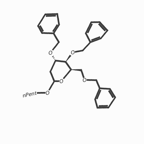 CCCCCOC1C[C@H](OCc2ccccc2)[C@@H](OCc2ccccc2)[C@@H](COCc2ccccc2)O1